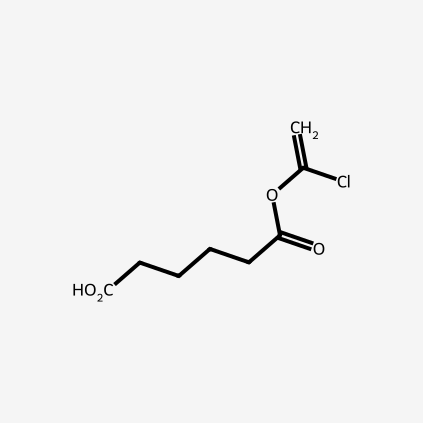 C=C(Cl)OC(=O)CCCCC(=O)O